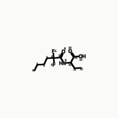 CCCCC(F)(F)C(=O)NC(CC)C(=O)O